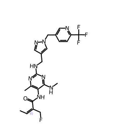 C/C=C(/CF)C(=O)Nc1c(C)nc(NCc2cnn(Cc3ccc(C(F)(F)F)nc3)c2)nc1NC